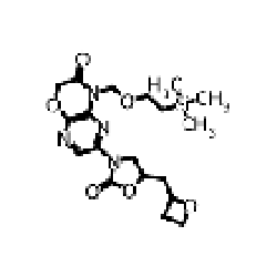 C[Si](C)(C)CCOCN1C(=O)COc2ncc(N3CC(CC4CCO4)OC3=O)nc21